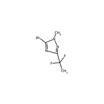 CC(C)c1nc(C(C)(F)F)nn1C